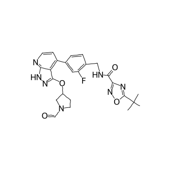 CC(C)(C)c1nc(C(=O)NCc2ccc(-c3ccnc4[nH]nc(OC5CCN(C=O)C5)c34)cc2F)no1